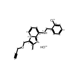 C#CCOCc1c(C)nc2c(NCc3ccccc3Cl)cccn12.Cl